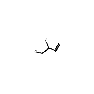 C=CC(F)C[O]